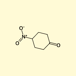 O=C1CCC([N+](=O)[O-])CC1